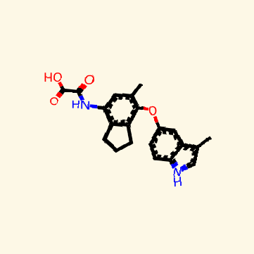 Cc1cc(NC(=O)C(=O)O)c2c(c1Oc1ccc3[nH]cc(C)c3c1)CCC2